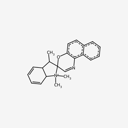 CC1C2C=CC=CC2[N+](C)(C)C12C=Nc1c(ccc3ccccc13)O2